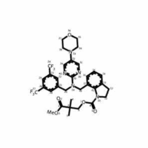 COC(=O)C(C)(C)COC(=O)N1CCc2cccc(CN(Cc3cc(C(F)(F)F)cc(C(F)(F)F)c3)c3ncc(N4CCOCC4)cn3)c21